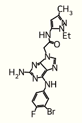 CCn1nc(C)cc1NC(=O)Cn1cnc2c(Nc3ccc(F)c(Br)c3)nc(N)nc21